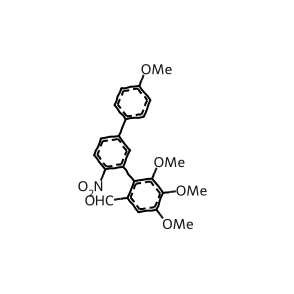 COc1ccc(-c2ccc([N+](=O)[O-])c(-c3c(C=O)cc(OC)c(OC)c3OC)c2)cc1